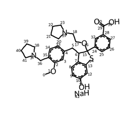 COc1cc(CC2c3ccc(O)cc3SC2(OCCN2CCCC2)c2cccc(C(=O)O)c2)ccc1CN1CCCC1.[NaH]